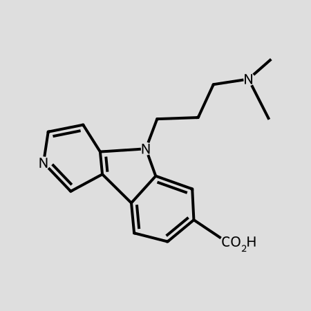 CN(C)CCCn1c2ccncc2c2ccc(C(=O)O)cc21